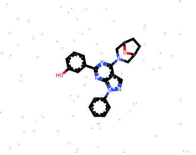 Oc1cccc(-c2nc(N3CC4CCC(C3)O4)c3cnn(-c4ccccc4)c3n2)c1